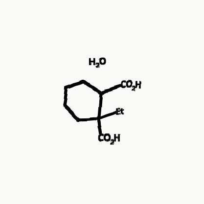 CCC1(C(=O)O)CCCCC1C(=O)O.O